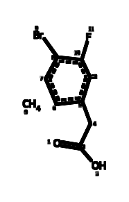 C.O=C(O)Cc1ccc(Br)c(F)c1